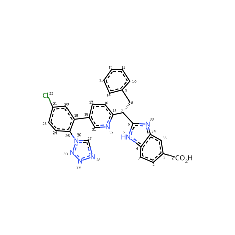 O=C(O)c1ccc2[nH]c([C@@H](Cc3ccccc3)c3ccc(-c4cc(Cl)ccc4-n4cnnn4)cn3)nc2c1